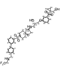 O=S(=O)(c1cccc(-c2ccc(CNCC(F)(F)F)cc2)c1)N1CCC2(CC1)C[C@@H](NC[C@H](O)COc1cccc(S(=O)(=O)C3(CO)CC3)c1)CO2